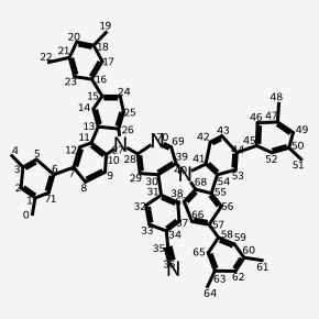 Cc1cc(C)cc(-c2ccc3c(c2)c2cc(-c4cc(C)cc(C)c4)ccc2n3-c2cc(-c3ccc(C#N)cc3)c(-n3c4ccc(-c5cc(C)cc(C)c5)cc4c4cc(-c5cc(C)cc(C)c5)ccc43)cn2)c1